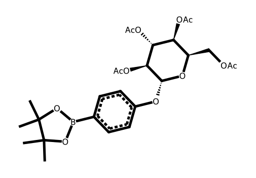 CC(=O)OC[C@H]1O[C@H](Oc2ccc(B3OC(C)(C)C(C)(C)O3)cc2)[C@@H](OC(C)=O)[C@H](OC(C)=O)[C@H]1OC(C)=O